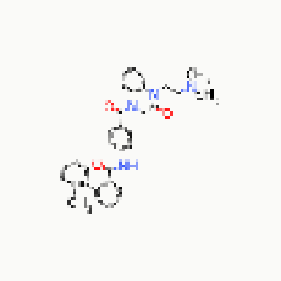 Cc1ccccc1-c1ccccc1C(=O)Nc1ccc(C(=O)N2CC(=O)N(CCN(C)C)c3ccccc32)cc1